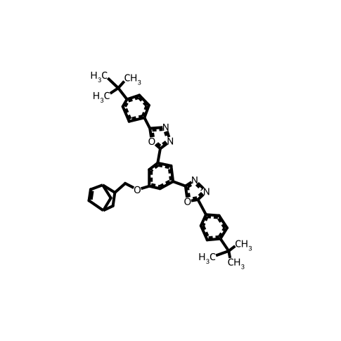 CC(C)(C)c1ccc(-c2nnc(-c3cc(OCC4CC5C=CC4C5)cc(-c4nnc(-c5ccc(C(C)(C)C)cc5)o4)c3)o2)cc1